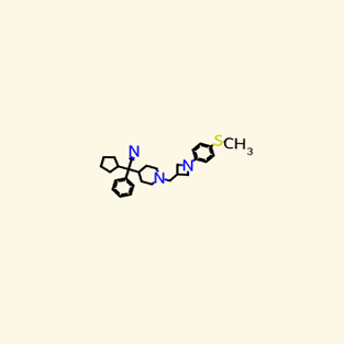 CSc1ccc(N2CC(CN3CCC(C(C#N)(c4ccccc4)C4CCCC4)CC3)C2)cc1